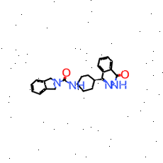 O=C(N[C@H]1CC[C@H](c2n[nH]c(=O)c3ccccc32)CC1)N1Cc2ccccc2C1